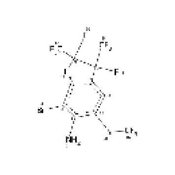 Nc1c(Br)cc(C(F)(C(F)(F)F)C(F)(F)C(F)(F)F)cc1SC(F)(F)F